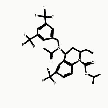 CCC1CC(N(Cc2cc(C(F)(F)F)cc(C(F)(F)F)c2)C(C)=O)c2cc(C(F)(F)F)ccc2N1C(=O)OC(C)C